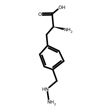 NNCc1ccc(C[C@H](N)C(=O)O)cc1